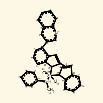 CC1=Cc2c(-c3cnc4ccccc4c3)cccc2[CH]1[Zr]([Cl])([Cl])([CH]1C=Cc2ccccc21)[SiH](C)c1ccccc1